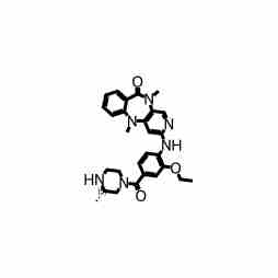 CCOc1cc(C(=O)N2CCN[C@@H](C)C2)ccc1Nc1cc2c(cn1)N(C)C(=O)c1ccccc1N2C